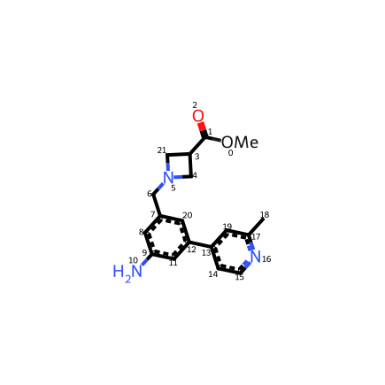 COC(=O)C1CN(Cc2cc(N)cc(-c3ccnc(C)c3)c2)C1